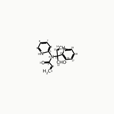 C=CC(=O)N(c1ccccn1)C([C]=O)(C=C)c1ccccn1